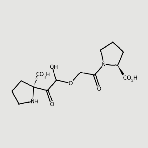 O=C(O)[C@@H]1CCCN1C(=O)COC(O)C(=O)[C@]1(C(=O)O)CCCN1